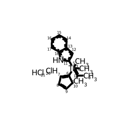 C[C](C)=[Ti]([CH3])([CH3])([C]1=CC=CC1)[c]1cc2ccccc2[nH]1.Cl.Cl